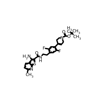 Cc1ccc2c(N)c(C(=O)NCCc3cc(F)c(C4=CCN(C(=O)OC(C)(C)C)CC4)cc3F)sc2n1